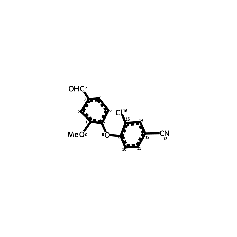 COc1cc(C=O)ccc1Oc1ccc(C#N)cc1Cl